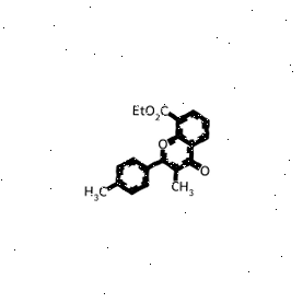 CCOC(=O)c1cccc2c(=O)c(C)c(-c3ccc(C)cc3)oc12